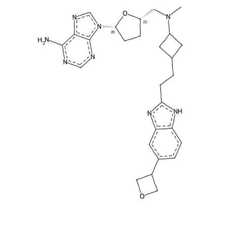 CN(C[C@@H]1CC[C@H](n2cnc3c(N)ncnc32)O1)C1CC(CCc2nc3cc(C4COC4)ccc3[nH]2)C1